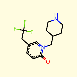 O=c1ccc(CC(F)(F)F)cn1CC1CCNCC1